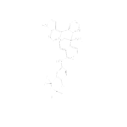 NC1(c2ncccc2-c2ncnc3[nH]ccc23)C=CC=C2C1=CC=NC2Nc1ccc2c(c1)C(F)(F)OC(F)(F)O2